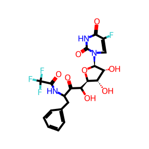 O=C(C(Cc1ccccc1)NC(=O)C(F)(F)F)C(O)[C@H]1O[C@@H](n2cc(F)c(=O)[nH]c2=O)[C@H](O)[C@@H]1O